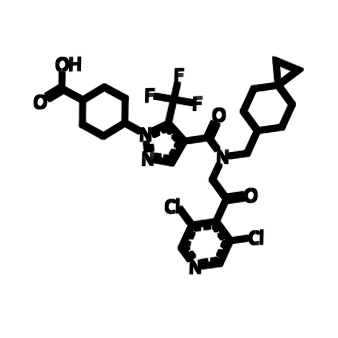 O=C(CN(CC1CCC2(CC1)CC2)C(=O)c1cnn(C2CCC(C(=O)O)CC2)c1C(F)(F)F)c1c(Cl)cncc1Cl